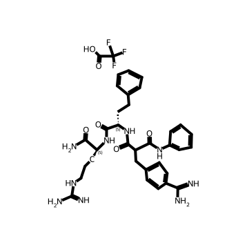 N=C(N)NCCC[C@H](NC(=O)[C@H](CCc1ccccc1)NC(=O)C(Cc1ccc(C(=N)N)cc1)C(=O)Nc1ccccc1)C(N)=O.O=C(O)C(F)(F)F